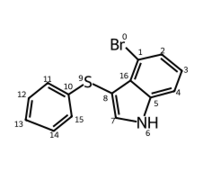 Brc1cccc2[nH]cc(Sc3ccccc3)c12